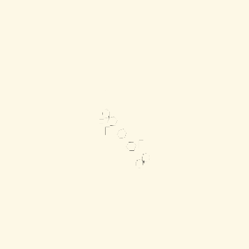 CCCCCCCCCOc1ccc(-c2ccc(-c3ccc(C4COC(CCC)OC4)c(F)c3)cc2)c(F)c1F